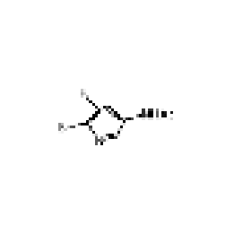 CC(=O)Nc1cnc(Br)c(F)c1